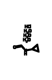 Cl.O.O.O.O=CNC1CC1